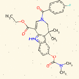 CCOC(=O)C1=CN(C(=O)c2ccc(F)cc2)CC(C)(C)c2c1[nH]c1ccc(OC(=O)N(C)C)cc21